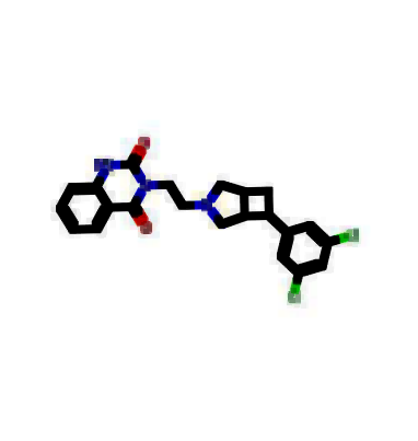 O=c1[nH]c2ccccc2c(=O)n1CCN1CC2CC(c3cc(Cl)cc(Cl)c3)C2C1